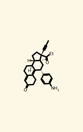 CC#C[C@]1(C(=O)CC)CC[C@H]2[C@@H]3CCC4=CC(=O)CCC4=C3[C@@H](c3ccc(N)cc3)C[C@@]21C